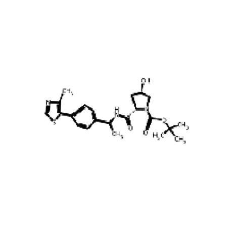 Cc1ncsc1-c1ccc(C(C)NC(=O)[C@@H]2C[C@@H](O)CN2C(=O)OC(C)(C)C)cc1